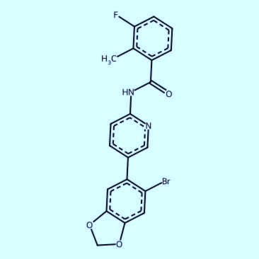 Cc1c(F)cccc1C(=O)Nc1ccc(-c2cc3c(cc2Br)OCO3)cn1